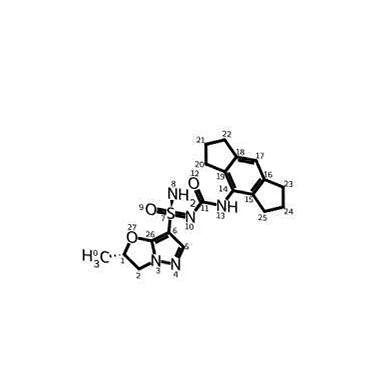 C[C@H]1Cn2ncc([S@](N)(=O)=NC(=O)Nc3c4c(cc5c3CCC5)CCC4)c2O1